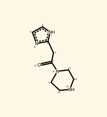 O=C(Cc1ncc[nH]1)N1CCNCC1